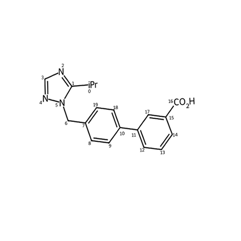 CC(C)c1ncnn1Cc1ccc(-c2cccc(C(=O)O)c2)cc1